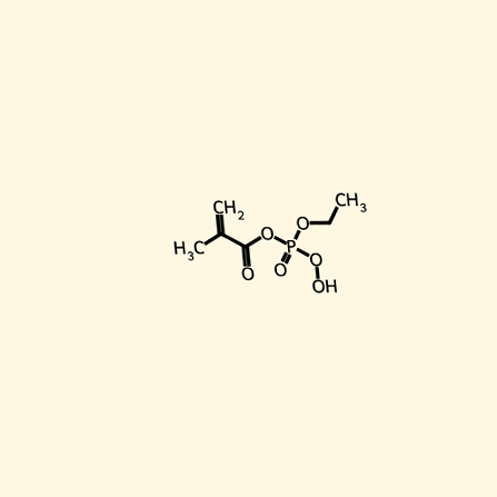 C=C(C)C(=O)OP(=O)(OO)OCC